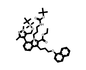 CCOC(=O)c1c(CCCOc2cccc3ccccc23)c2cccc(-c3c(C)nn(C)c3CO[Si](C)(C)C(C)(C)C)c2n1CCCNC(=O)OC(C)(C)C